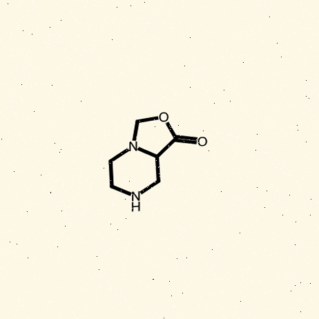 O=C1OCN2CCNCC12